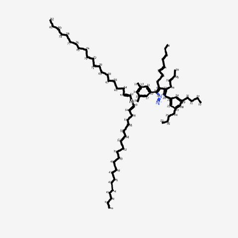 CCCCCCCCC1=C(c2cc(C)cc(C)c2)[N+](=[N-])C(c2cc(CCCC)cc(CCCC)c2)=C1CCCC.CCCCCCCCCCCCCCCCCCCC=[CH][Ni][CH]=CCCCCCCCCCCCCCCCCCCC